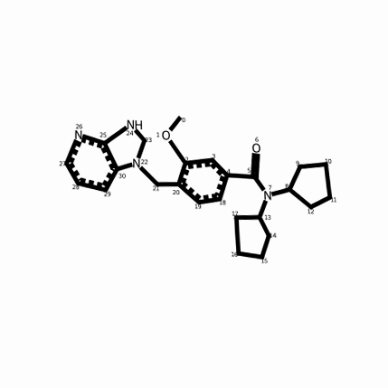 COc1cc(C(=O)N(C2CCCC2)C2CCCC2)ccc1CN1CNc2ncccc21